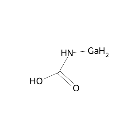 O=C(O)[NH][GaH2]